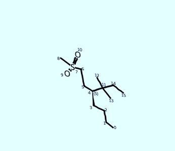 CCCC[C@@H](CCS(C)(=O)=O)C(C)(C)CC